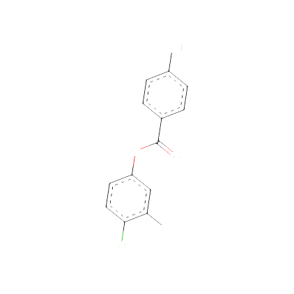 Cc1ccc(C(=O)Oc2ccc(Cl)c(C)c2)cc1